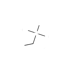 C[N+](C)(C)CO.[Br-]